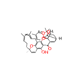 CC(=O)/C(C)=C\C[C@@]12OC(C)(C)[C@@H]3C[C@@H](C=C4C(=O)c5c(O)c6c(c(CC=C(C)C)c5O[C@]431)O[C@](C)(CCC=C(C)C)C=C6)C2=O